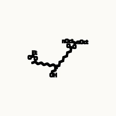 CCCCCCCCC(CCCCCCCC)OC(=O)CCCCCCCN(CCO)CCCCCCC(C)OC(=O)CC